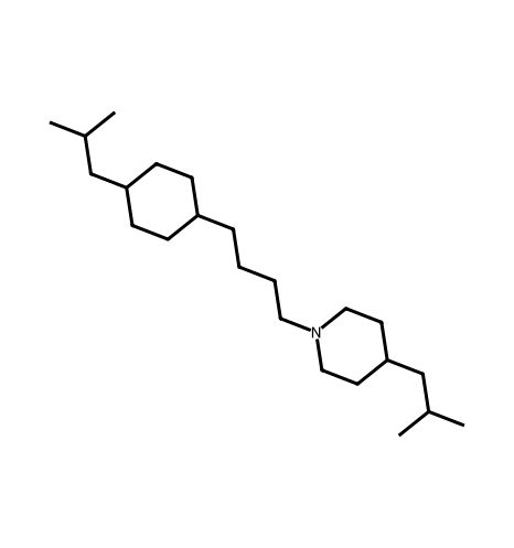 CC(C)CC1CCC(CCCCN2CCC(CC(C)C)CC2)CC1